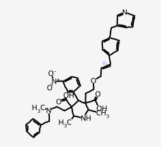 CC1NC(C)C(CCN(C)Cc2ccccc2)(C(=O)O)C(c2cccc([N+](=O)[O-])c2)C1(CCOC/C=C/c1ccc(Cc2cccnc2)cc1)C(=O)O